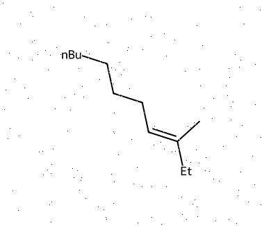 CCCCCCCC=C(C)CC